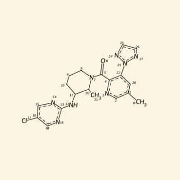 Cc1cnc(C(=O)N2CCCC(Nc3ncc(Cl)cn3)C2C)c(-n2nccn2)c1